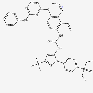 C=Cc1c(NC(=O)Nc2cc(C(C)(C)C)nn2-c2ccc(P(=O)(CC)CC)cc2)ccc(Oc2ccnc(Nc3ccccc3)n2)c1/C=C\C